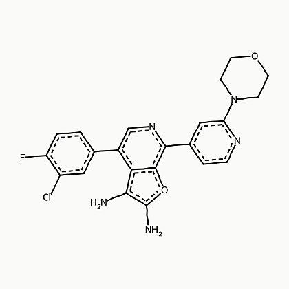 Nc1oc2c(-c3ccnc(N4CCOCC4)c3)ncc(-c3ccc(F)c(Cl)c3)c2c1N